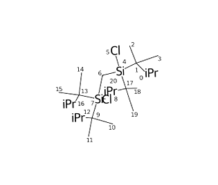 CC(C)C(C)(C)[Si](Cl)(C[Si](Cl)(C(C)(C)C(C)C)C(C)(C)C(C)C)C(C)(C)C(C)C